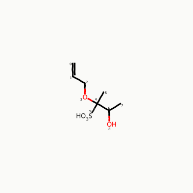 C=CCOC(C)(C(C)O)S(=O)(=O)O